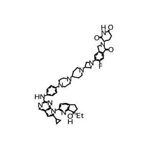 CC[C@@]1(O)CCc2ccc(-n3c(C4CC4)cc4cnc(Nc5ccc(N6CCN(C7CCN(C8CN(c9cc%10c(cc9F)C(=O)N(C9CCC(=O)NC9=O)C%10)C8)CC7)CC6)cc5)nc43)nc21